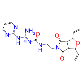 C=CC1OC(C=C)C2C(=O)N(CCNC(=O)/N=C(\N)Nc3ncccn3)C(=O)C12